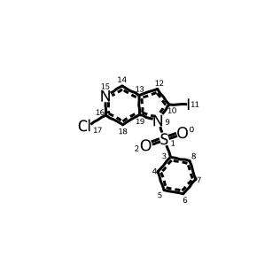 O=S(=O)(c1ccccc1)n1c(I)cc2cnc(Cl)cc21